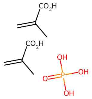 C=C(C)C(=O)O.C=C(C)C(=O)O.O=P(O)(O)O